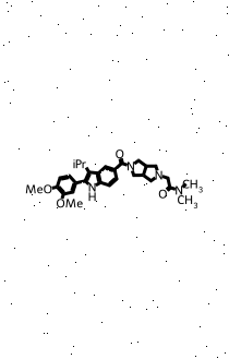 COc1ccc(-c2[nH]c3ccc(C(=O)N4CC5CN(CC(=O)N(C)C)CC5C4)cc3c2C(C)C)cc1OC